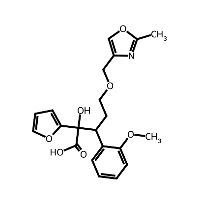 COc1ccccc1C(CCOCc1coc(C)n1)C(O)(C(=O)O)c1ccco1